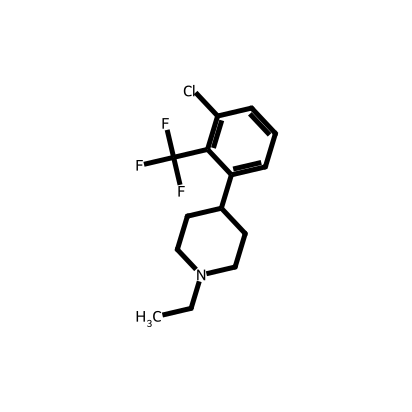 CCN1CCC(c2cccc(Cl)c2C(F)(F)F)CC1